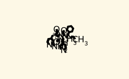 CCC[C@@H](NC(=O)N1C(=O)[C@H](Cc2ccnc(N)c2)[C@H]1C(=O)N(C)c1ccncc1)C1CCCCC1